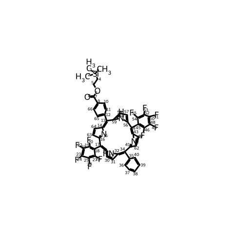 C[Si](C)(C)CCOC(=O)c1ccc(-c2c3nc(c(-c4c(F)c(F)c(F)c(F)c4F)c4ccc([nH]4)c(-c4ccccc4)c4nc(c(-c5c(F)c(F)c(F)c(F)c5F)c5ccc2[nH]5)C=C4)C=C3)cc1